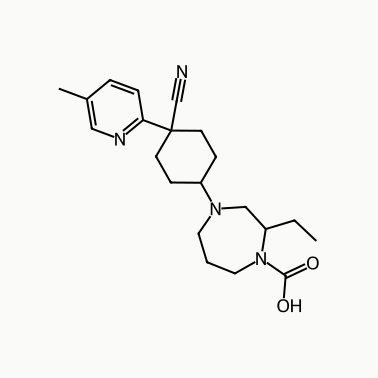 CCC1CN(C2CCC(C#N)(c3ccc(C)cn3)CC2)CCCN1C(=O)O